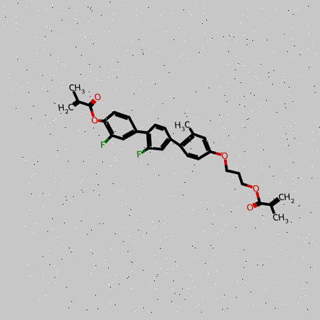 C=C(C)C(=O)OCCCOc1ccc(-c2ccc(-c3ccc(OC(=O)C(=C)C)c(F)c3)c(F)c2)c(C)c1